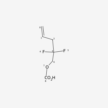 C=CCC(F)(F)COC(=O)O